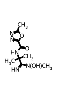 Cc1nnc(C(=O)NC(C)(C)C(=N)N(C)O)o1